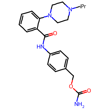 CC(C)N1CCN(c2ccccc2C(=O)Nc2ccc(COC(N)=O)cc2)CC1